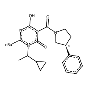 CCCCc1nc(O)c(C(=O)N2CC[C@@H](c3ccccc3)C2)c(=O)n1C(C)C1CC1